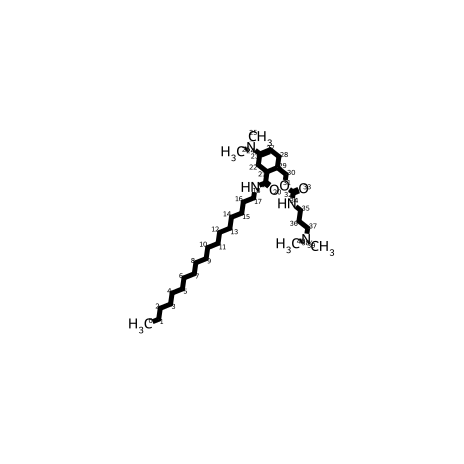 CCCCCCCCCCCCCCCCCCNC(=O)C1CC(N(C)C)=CCC1COC(=O)NCCCN(C)C